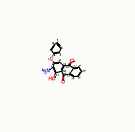 Nc1c(Oc2ccccc2)cc2c(c1O)C(=O)c1ccccc1C2=O